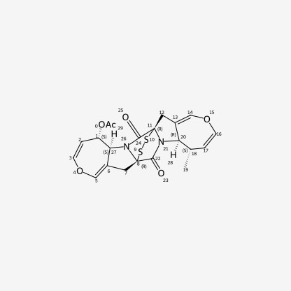 CC(=O)O[C@H]1C=COC=C2C[C@@]34SS[C@]5(CC6=COC=C[C@H](C)[C@H]6N5C3=O)C(=O)N4[C@@H]21